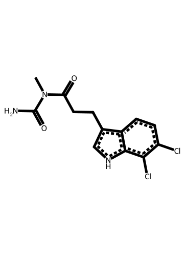 CN(C(N)=O)C(=O)CCc1c[nH]c2c(Cl)c(Cl)ccc12